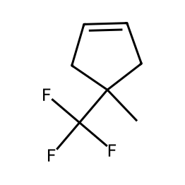 CC1(C(F)(F)F)CC=CC1